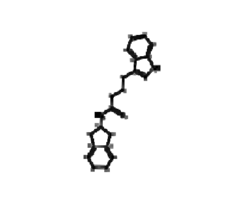 O=C(CCCc1c[nH]c2ccccc12)NC1Cc2ccccc2C1